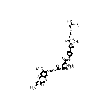 C=C1C[C@H]2C=Nc3cc(OCCCC(=O)Nc4cc(C(=O)Nc5ccc(-c6cc(C(=O)NCCCOC(=O)C(C)N)n(C)c6)cc5)n(C)c4)c(OC)cc3C(=O)N2C1.O=CO